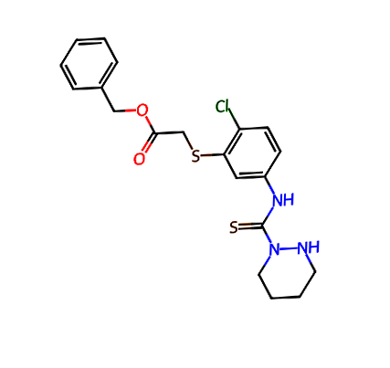 O=C(CSc1cc(NC(=S)N2CCCCN2)ccc1Cl)OCc1ccccc1